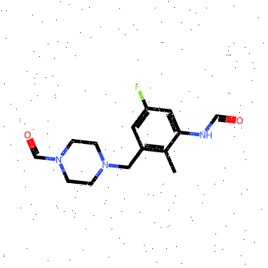 Cc1c(CN2CCN(C=O)CC2)cc(F)cc1NC=O